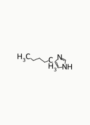 CCCCC.c1c[nH]cn1